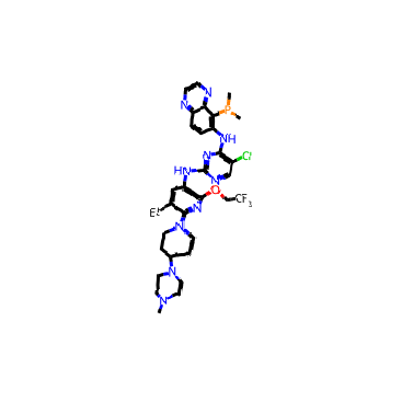 CCc1cc(Nc2ncc(Cl)c(Nc3ccc4nccnc4c3P(C)C)n2)c(OCC(F)(F)F)nc1N1CCC(N2CCN(C)CC2)CC1